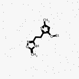 C=C1NC(CCc2sc(C)cc2OCC)=NO1